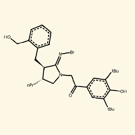 CCC[C@H]1CN(CC(=O)c2cc(C(C)(C)C)c(O)c(C(C)(C)C)c2)/C(=N\Br)[C@@H]1Cc1ccccc1CO